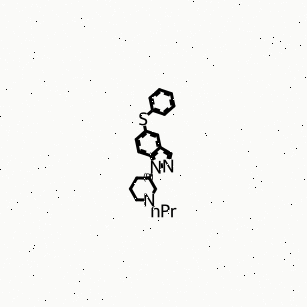 CCCN1CCC[C@@H](n2ncc3cc(Sc4ccccc4)ccc32)C1